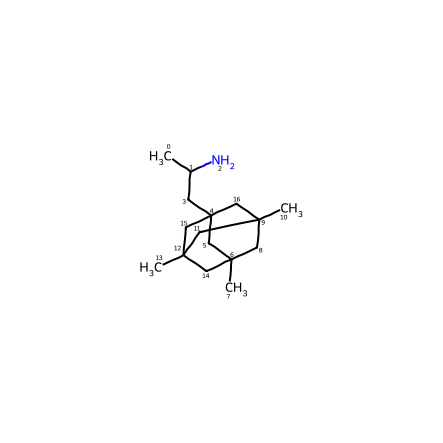 CC(N)CC12CC3(C)CC(C)(CC(C)(C3)C1)C2